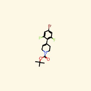 CC(C)(C)OC(=O)N1CC=C(c2c(F)cc(Br)cc2F)CC1